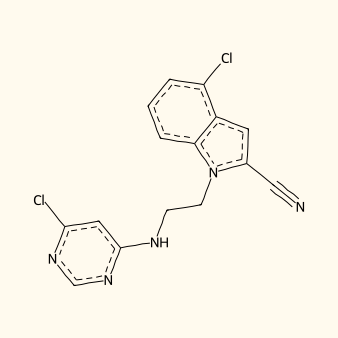 N#Cc1cc2c(Cl)cccc2n1CCNc1cc(Cl)ncn1